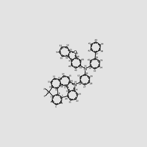 CC1(C)c2cccc3c2-c2c1ccc1ccc4c(c21)c1c-3cccc1n4-c1cccc(N(c2cccc(-c3ccccc3)c2)c2ccc3c(c2)oc2ccccc23)c1